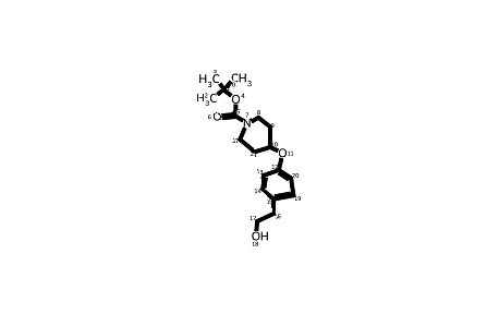 CC(C)(C)OC(=O)N1CCC(Oc2ccc(CCO)cc2)CC1